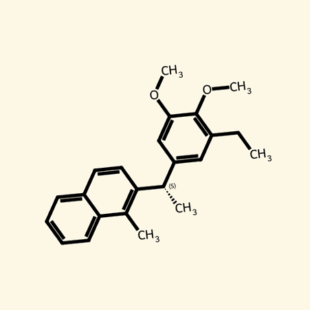 CCc1cc([C@H](C)c2ccc3ccccc3c2C)cc(OC)c1OC